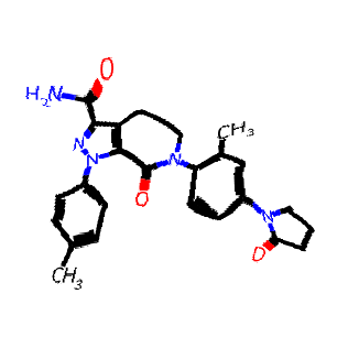 Cc1ccc(-n2nc(C(N)=O)c3c2C(=O)N(c2ccc(N4CCCC4=O)cc2C)CC3)cc1